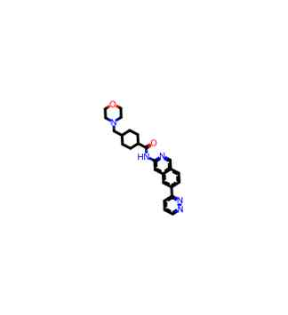 O=C(Nc1cc2cc(-c3cccnn3)ccc2cn1)C1CCC(CN2CCOCC2)CC1